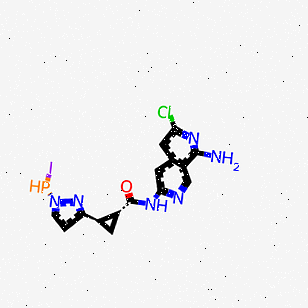 Nc1nc(Cl)cc2cc(NC(=O)[C@@H]3C[C@H]3c3ccn(PI)n3)ncc12